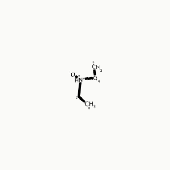 CC[NH+]([O-])OC